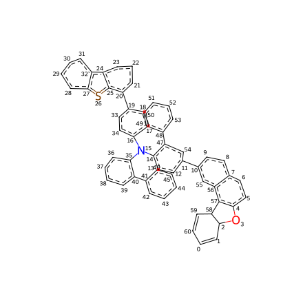 C1=CC2Oc3ccc4ccc(-c5ccc(N(c6ccc(-c7cccc8c7sc7ccccc78)cc6)c6ccccc6-c6ccccc6)c(-c6ccccc6)c5)cc4c3C2C=C1